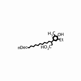 CCCCCCCCCCCCCCCCCCCCC(CC(=O)O)c1cc(C)c(O)c(CC)c1